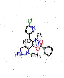 CCNC(Cc1ccc(Cl)nc1)C(OC(=O)c1ccccc1)C1=C([N+](=O)[O-])CNCN1C